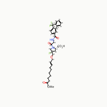 COC(=O)CCCCCC/C=C/COC[C@@]1(F)C[C@@H](C(=O)O)N(C(=O)CNC(=O)c2ccc3c(c2)-c2ccccc2C3(F)F)C1